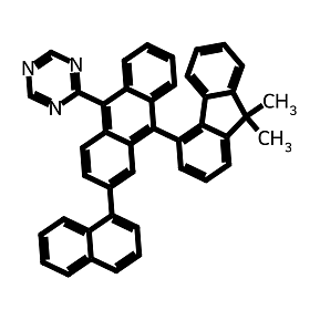 CC1(C)c2ccccc2-c2c(-c3c4ccccc4c(-c4ncncn4)c4ccc(-c5cccc6ccccc56)cc34)cccc21